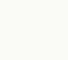 CC[CH]OC1OCC1CC